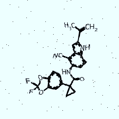 C=C(C)c1cc2c(C#N)c(NC(=O)C3(c4ccc5c(c4)OC(F)(F)O5)CC3)ccc2[nH]1